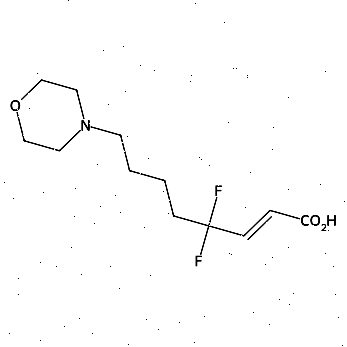 O=C(O)C=CC(F)(F)CCCCN1CCOCC1